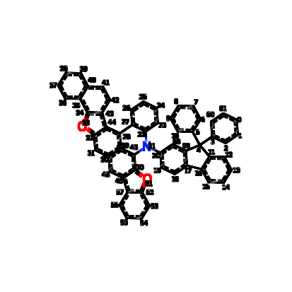 c1ccc(C2(c3ccccc3)c3ccccc3-c3ccc(N(c4ccccc4-c4cccc5oc6c7ccccc7ccc6c45)c4cccc5c4oc4ccccc45)cc32)cc1